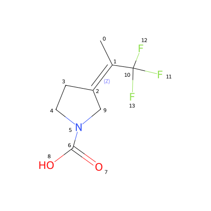 C/C(=C1\CCN(C(=O)O)C1)C(F)(F)F